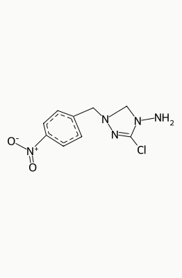 NN1CN(Cc2ccc([N+](=O)[O-])cc2)N=C1Cl